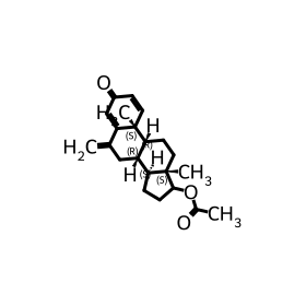 C=C1C[C@@H]2[C@@H](CC[C@]3(C)C(OC(C)=O)CC[C@@H]23)[C@@]2(C)C=CC(=O)C=C12